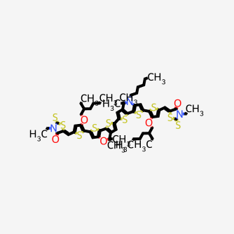 CCCCCCN1c2cc(-c3sc(/C=C4\SC(=S)N(CC)C4=O)cc3OCC(CC)CCCC)sc2-c2sc(-c3cc4c(s3)-c3sc(-c5sc(/C=C6\SC(=S)N(CC)C6=O)cc5OCC(CC)CCCC)cc3OC4(C)C)cc2C1(C)C